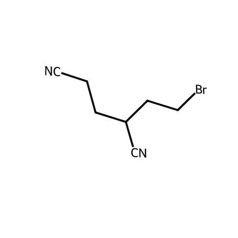 N#CCCC(C#N)CCBr